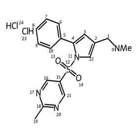 CNCc1cc(-c2ccccc2)n(S(=O)(=O)c2cnc(C)nc2)c1.Cl.Cl